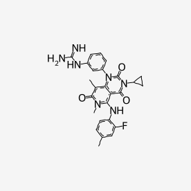 Cc1ccc(Nc2c3c(=O)n(C4CC4)c(=O)n(-c4cccc(NC(=N)N)c4)c3c(C)c(=O)n2C)c(F)c1